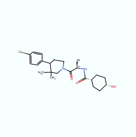 CC(C)[C@@H](NC(=O)[C@H]1CC[C@@H](O)CC1)C(=O)N1CCC(c2ccc(Cl)cc2)C(C)(C)C1